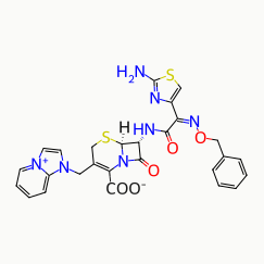 Nc1nc(/C(=N/OCc2ccccc2)C(=O)N[C@@H]2C(=O)N3C(C(=O)[O-])=C(Cn4cc[n+]5ccccc45)CS[C@@H]23)cs1